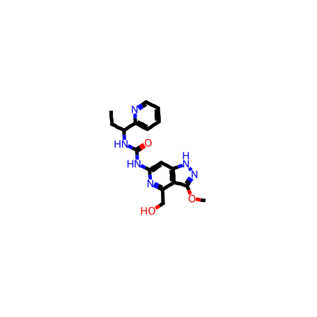 CCC(NC(=O)Nc1cc2[nH]nc(OC)c2c(CO)n1)c1ccccn1